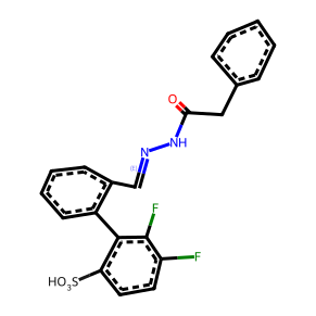 O=C(Cc1ccccc1)N/N=C/c1ccccc1-c1c(S(=O)(=O)O)ccc(F)c1F